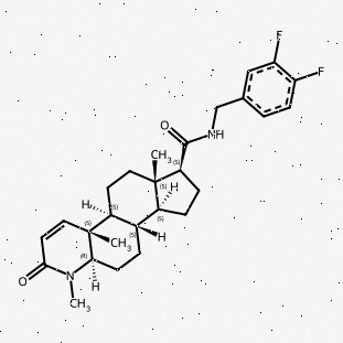 CN1C(=O)C=C[C@]2(C)[C@H]3CC[C@]4(C)[C@@H](C(=O)NCc5ccc(F)c(F)c5)CC[C@H]4[C@@H]3CC[C@@H]12